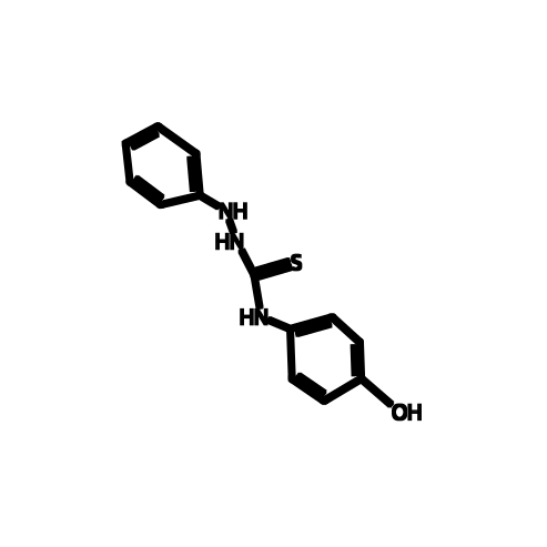 Oc1ccc(NC(=S)NNc2ccccc2)cc1